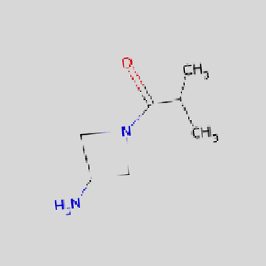 CC(C)C(=O)N1CC(N)C1